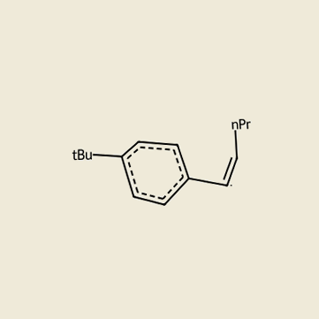 CCC/C=[C]\c1ccc(C(C)(C)C)cc1